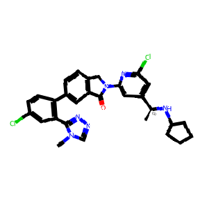 C[C@H](NC1CCCC1)c1cc(Cl)nc(N2Cc3ccc(-c4ccc(Cl)cc4-c4nncn4C)cc3C2=O)c1